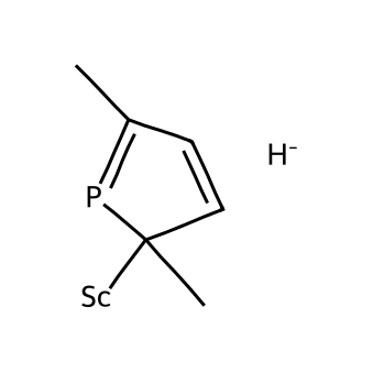 CC1=P[C](C)([Sc])C=C1.[H-]